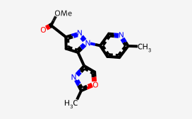 COC(=O)c1cc(-c2coc(C)n2)n(-c2ccc(C)nc2)n1